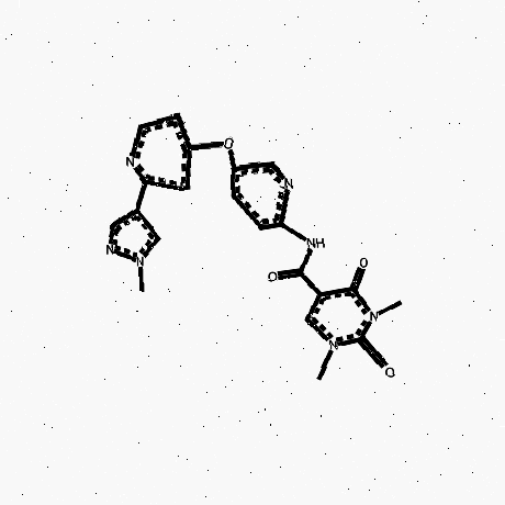 Cn1cc(-c2cc(Oc3ccc(NC(=O)c4cn(C)c(=O)n(C)c4=O)nc3)ccn2)cn1